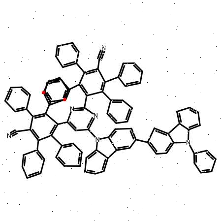 N#Cc1c(-c2ccccc2)c(-c2ccccc2)c(-c2cc(-n3c4ccccc4c4cc(-c5ccc6c(c5)c5ccccc5n6-c5ccccc5)ccc43)nc(-c3c(-c4ccccc4)c(-c4ccccc4)c(C#N)c(-c4ccccc4)c3-c3ccccc3)n2)c(-c2ccccc2)c1-c1ccccc1